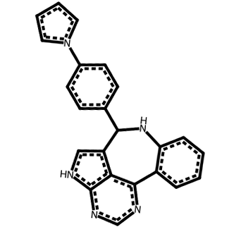 c1ccc2c(c1)NC(c1ccc(-n3cccc3)cc1)c1c[nH]c3ncnc-2c13